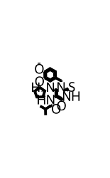 COc1ccc(Cn2c(N)c(NC(=O)C(C)C)c(=O)[nH]c2=S)cc1OC1CCCC1